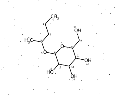 CCCC(C)OC1OC(CO)C(O)C(O)C1O